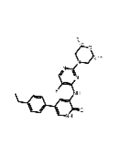 CCc1ccc(-c2c[nH]c(=O)c(Nc3nc(N4C[C@@H](C)O[C@@H](C)C4)ncc3F)c2)cc1